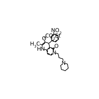 CCOC(=O)OC1=C(C)Nc2ccn(CCCN3CCCCC3)c(=O)c2C1c1cccc([N+](=O)[O-])c1